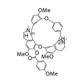 COc1ccc(C(=O)Oc2c(OC)cc3c4c2Oc2cc5c(cc2OC)CCN(C)[C@H]5Cc2ccc(cc2)Oc2cc(ccc2OC)C[C@@H]4N(C)CC3)cc1